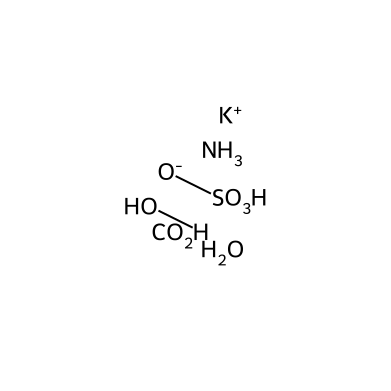 N.O.O=C(O)O.O=S(=O)([O-])O.[K+]